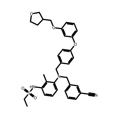 CCS(=O)(=O)Nc1cccc(N(Cc2ccc(Oc3cccc(OCC4CCOC4)c3)cc2)Cc2cccc(C#N)c2)c1C